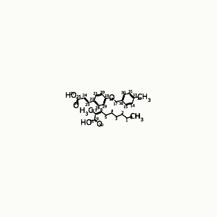 CCCCCCC=C(C)C(=O)O.Cc1ccc(COc2ccc(C=CC(=O)O)cc2)cc1